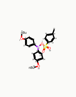 CCCCOc1ccc([I+](OS(=O)(=O)c2ccc(C)cc2)c2ccc(OCCCC)cc2)cc1